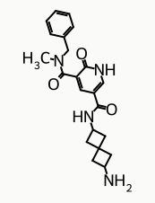 CN(Cc1ccccc1)C(=O)c1cc(C(=O)NC2CC3(CC(N)C3)C2)c[nH]c1=O